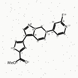 COC(=O)c1cc(-c2cnn3c2C=CN(c2ccnc(F)c2)C3)cs1